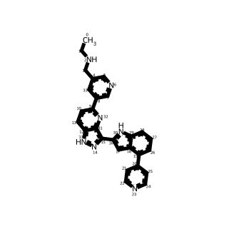 CCNCc1cncc(-c2ccc3[nH]nc(-c4cc5c(-c6ccncc6)cccc5[nH]4)c3n2)c1